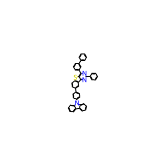 c1ccc(-c2cccc(-c3nc(-c4ccccc4)nc4c3sc3ccc(-c5ccc(-n6c7ccccc7c7ccccc76)cc5)cc34)c2)cc1